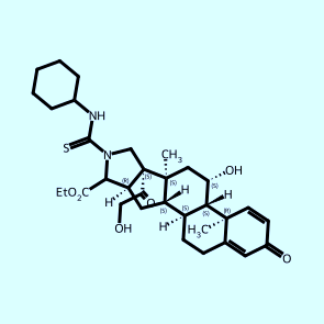 CCOC(=O)C1[C@@H]2C[C@H]3[C@@H]4CCC5=CC(=O)C=C[C@]5(C)[C@H]4[C@@H](O)C[C@]3(C)[C@]2(C(=O)CO)CN1C(=S)NC1CCCCC1